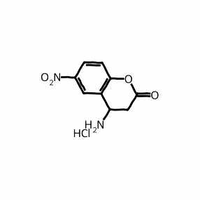 Cl.NC1CC(=O)Oc2ccc([N+](=O)[O-])cc21